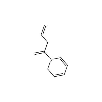 C=CCC(=C)N1C=CC=CC1